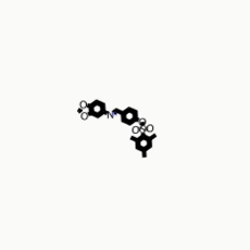 Cc1cc(C)c(S(=O)(=O)Oc2ccc(/C=N/c3ccc4c(c3)OCO4)cc2)c(C)c1